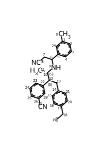 Cc1cccc(C(CC#N)N[C@@H](C)[C@@H](Cc2ccc(CI)cc2)c2cccc(C#N)c2)c1